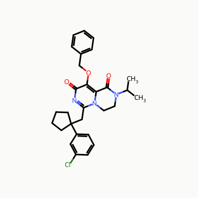 CC(C)N1CCn2c(CC3(c4cccc(Cl)c4)CCCC3)nc(=O)c(OCc3ccccc3)c2C1=O